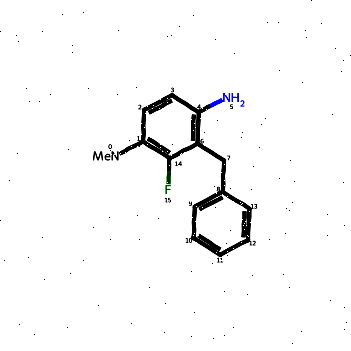 CNc1ccc(N)c(Cc2ccccc2)c1F